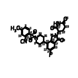 Cc1ccc(S(=O)(=O)N2CCC(c3cc(F)cc4c3CN(C3CCC(=O)NC3=O)C4=O)CC2)c(C#N)c1